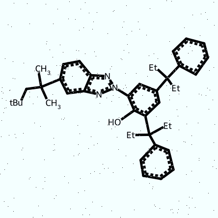 CCC(CC)(c1ccccc1)c1cc(-n2nc3ccc(C(C)(C)CC(C)(C)C)cc3n2)c(O)c(C(CC)(CC)c2ccccc2)c1